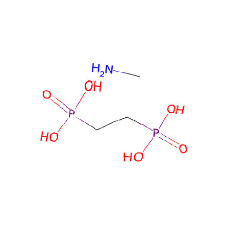 CN.O=P(O)(O)CCP(=O)(O)O